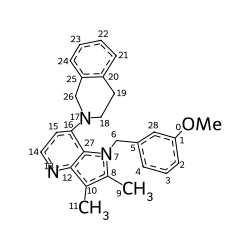 COc1cccc(Cn2c(C)c(C)c3nccc(N4CCc5ccccc5C4)c32)c1